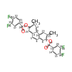 Cc1cc2c(ccc3cc(OC(=O)c4ccc(F)c(F)c4)c(C)cc32)cc1OC(=O)c1ccc(F)c(F)c1